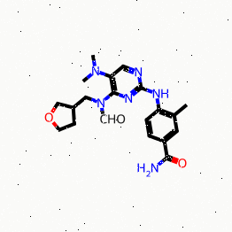 Cc1cc(C(N)=O)ccc1Nc1ncc(N(C)C)c(N(C=O)CC2CCOC2)n1